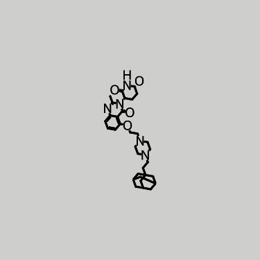 Cc1nc2cccc(OCCN3CCN(CCC45CC6CC(CC(C6)C4)C5)CC3)c2c(=O)n1C1CCC(=O)NC1=O